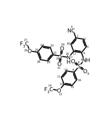 N#Cc1ccc(NS(=O)(=O)c2ccc(OC(F)(F)F)cc2)c(NS(=O)(=O)c2ccc(OC(F)(F)F)cc2)c1